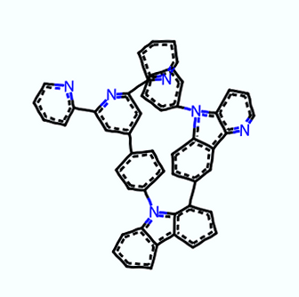 c1ccc(-n2c3ccc(-c4cccc5c6ccccc6n(-c6ccc(-c7cc(-c8ccccn8)nc(-c8ccccn8)c7)cc6)c45)cc3c3ncccc32)cc1